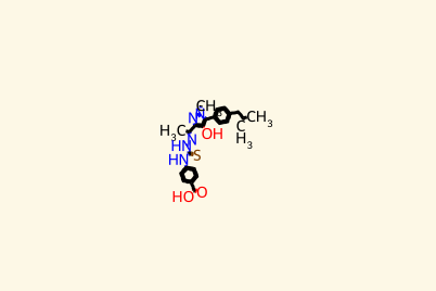 C/C(=N\NC(=S)Nc1ccc(C(=O)O)cc1)c1nn(C)c(-c2ccc(CC(C)C)cc2)c1O